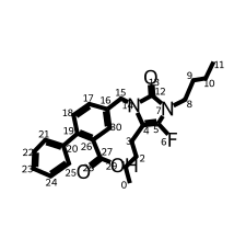 CCCCc1c(F)n(CCCC)c(=O)n1Cc1ccc(-c2ccccc2)c(C(=O)O)c1